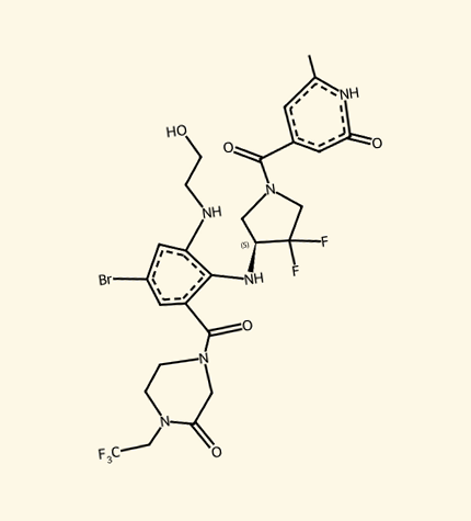 Cc1cc(C(=O)N2C[C@H](Nc3c(NCCO)cc(Br)cc3C(=O)N3CCN(CC(F)(F)F)C(=O)C3)C(F)(F)C2)cc(=O)[nH]1